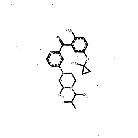 CC1CN(c2cc(C(=N)c3cc(OC4(C)CC4)ccc3N)ncn2)CCN1C(C)C(F)F